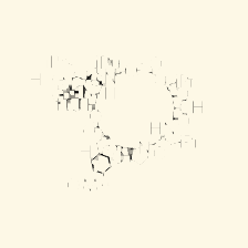 CC[C@H](C)[C@@H]1CCC(=O)O[C@@H](C(C)C)C(=O)[C@H](C)C(=O)N[C@@H](CC(C)C)C(=O)N2CCC[C@H]2C(=O)N(C)[C@@H](Cc2ccc(OC)cc2)C(=O)O[C@H](C)[C@H](NC(=O)[C@@H](CC(C)C)N(C)S(C)(=O)=O)C(=O)N1